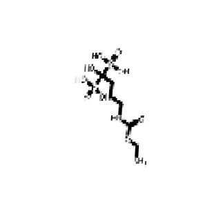 NCOC(=O)NCCCC(O)(P(=O)(O)O)P(=O)(O)O